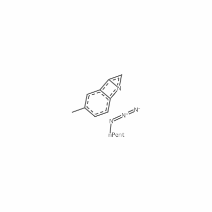 CCCCCN=[N+]=[N-].Cc1ccc2c(c1)c1cn2-1